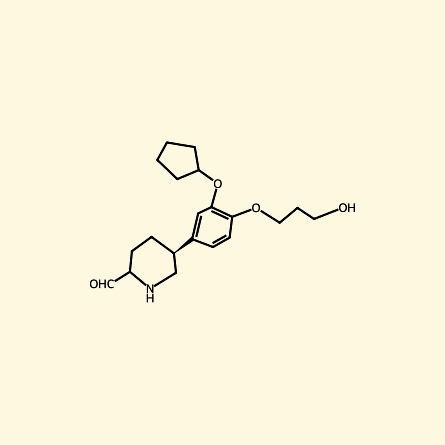 O=CC1CC[C@@H](c2ccc(OCCCO)c(OC3CCCC3)c2)CN1